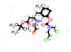 Cc1ccc(OC(=O)N(CCl)CCCl)cc1C[C@H](CC(=O)OC(C)(C)C)NBC=O